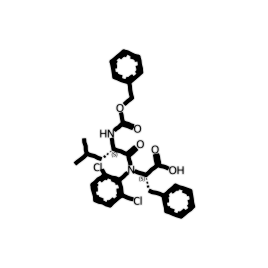 CC(C)C[C@H](NC(=O)OCc1ccccc1)C(=O)N(c1c(Cl)cccc1Cl)[C@@H](Cc1ccccc1)C(=O)O